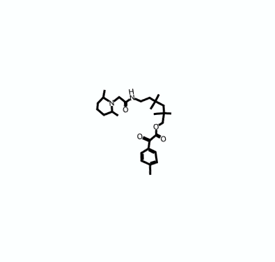 Cc1ccc(C(=O)C(=O)OCC(C)(C)CC(C)(C)CCNC(=O)CN2C(C)CCCC2C)cc1